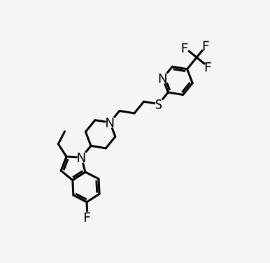 CCc1cc2cc(F)ccc2n1C1CCN(CCCSc2ccc(C(F)(F)F)cn2)CC1